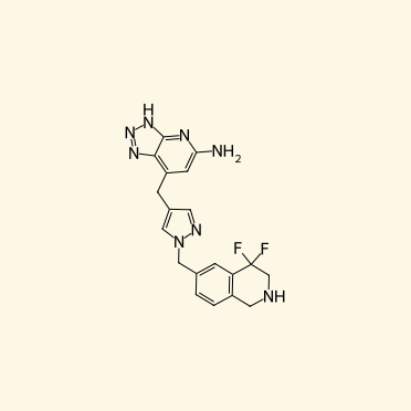 Nc1cc(Cc2cnn(Cc3ccc4c(c3)C(F)(F)CNC4)c2)c2nn[nH]c2n1